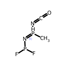 C/[PH](N=C=O)=N\P(F)F